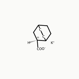 O=C([O-])[C@H]1CC2CCC1CC2.[K+]